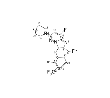 Cc1c(Cc2c(CF)nc3c(I)cc(N4CCOCC4)nn23)cccc1C(F)(F)F